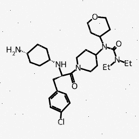 CCN(CC)C(=O)N(C1CCOCC1)C1CCN(C(=O)[C@@H](Cc2ccc(Cl)cc2)N[C@H]2CC[C@@H](N)CC2)CC1